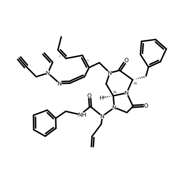 C#CCN(C=C)N=C=C/C(=C\C=C/C)CN1C[C@H]2N(C(=O)CN2N(CC=C)C(=O)NCc2ccccc2)[C@@H](Cc2ccccc2)C1=O